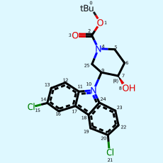 CC(C)(C)OC(=O)N1CC[C@@H](O)C(n2c3ccc(Cl)cc3c3cc(Cl)ccc32)C1